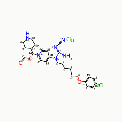 N#CN=C(N)N(CCCCCCOc1ccc(Cl)cc1)c1cc[n+](C(OC=O)C2CCNCC2)cc1.[Cl-]